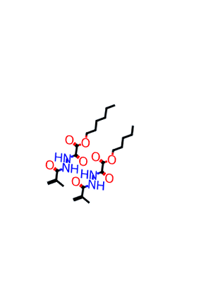 C=C(C)C(=O)NNC(=O)C(=O)OCCCCC.C=C(C)C(=O)NNC(=O)C(=O)OCCCCCC